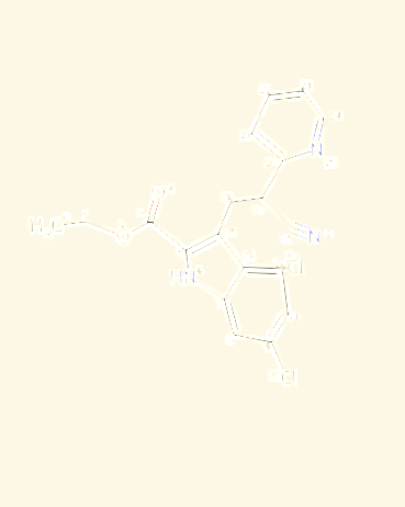 CCOC(=O)c1[nH]c2cc(Cl)cc(Cl)c2c1CC(C#N)c1ccccn1